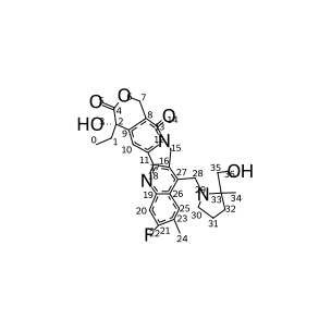 CC[C@@]1(O)C(=O)OCc2c1cc1n(c2=O)Cc2c-1nc1cc(F)c(C)cc1c2CN1CCCC1(C)CO